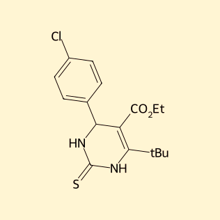 CCOC(=O)C1=C(C(C)(C)C)NC(=S)NC1c1ccc(Cl)cc1